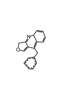 [c]1ccc(CC2=C3C=CC=CC3N=C3COC=C32)cc1